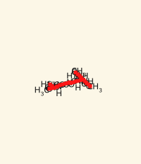 COCCOC(=O)NCCC(CCNC(=O)OCCOC)OC(=O)NCCOCCC(=O)NCCOCCOCCNC(=O)OCCN(CCOC(C)=O)CC(=O)NS